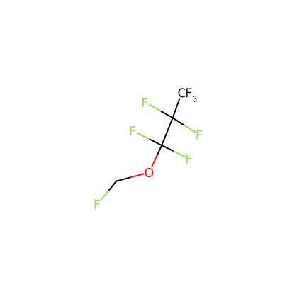 FCOC(F)(F)C(F)(F)C(F)(F)F